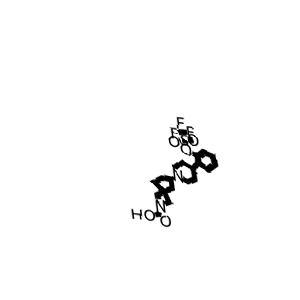 O=C(O)N1CC2(CC[C@@H](N3CCC(c4ccccc4OS(=O)(=O)C(F)(F)F)CC3)C2)C1